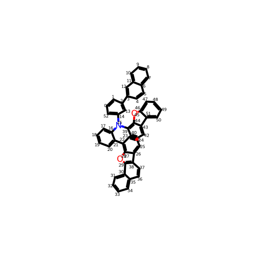 c1cc(-c2ccc3ccccc3c2)cc(N(c2ccccc2-c2cccc3c2oc2c4ccccc4ccc32)c2cccc3c2oc2ccccc23)c1